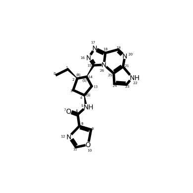 CC[C@@H]1C[C@H](NC(=O)c2cocn2)C[C@@H]1c1nnc2cnc3[nH]ccc3n12